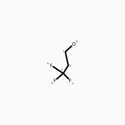 [O]CCC(F)(F)F